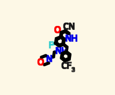 N#Cc1c[nH]c2c(Cc3ccc(C(F)(F)F)cc3)c(NCCN3CCOCC3)c(F)cc2c1=O